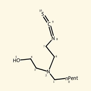 CCCCCCN(CCO)CCN=C=S